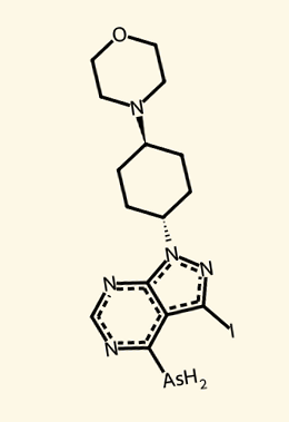 [AsH2]c1ncnc2c1c(I)nn2[C@H]1CC[C@H](N2CCOCC2)CC1